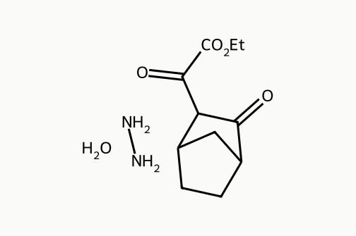 CCOC(=O)C(=O)C1C(=O)C2CCC1C2.NN.O